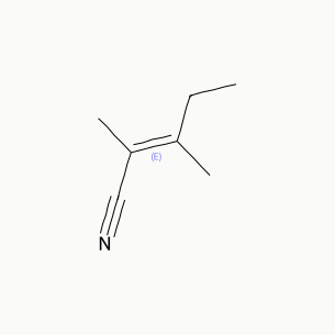 CC/C(C)=C(\C)C#N